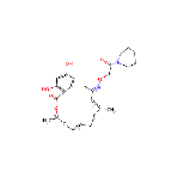 C/C1=C\C(=N\OCC(=O)N2CCCCC2)Cc2cc(O)cc(O)c2C(=O)O[C@H](C)C/C=C/CC1